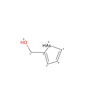 OCC1=CC=C[AsH]1